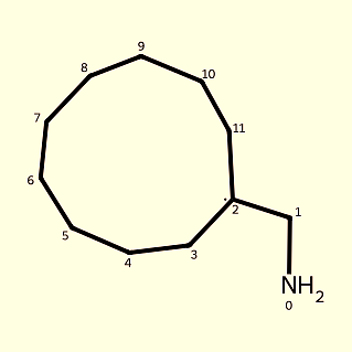 NC[C]1CCCCCCCCC1